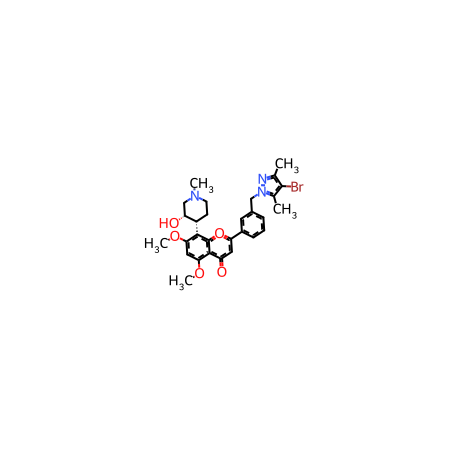 COc1cc(OC)c2c(=O)cc(-c3cccc(Cn4nc(C)c(Br)c4C)c3)oc2c1[C@H]1CCN(C)C[C@H]1O